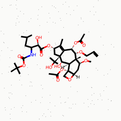 C=CCO[C@H]1[C@@H](OC(C)=O)C2=C(C)[C@@H](OC(=O)[C@H](O)C(CC(C)C)NC(=O)OC(C)(C)C)C[C@@]2(C(C)(C)O)[C@@H](O)[C@@H]2[C@]3(OC(C)=O)CO[C@@H]3C[C@H](OC)[C@]21C